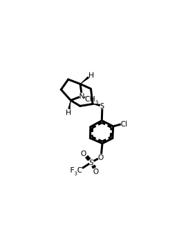 CN1[C@@H]2CC[C@H]1C[C@H](Sc1ccc(OS(=O)(=O)C(F)(F)F)cc1Cl)C2